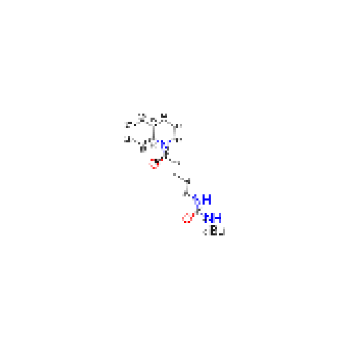 CCC(C)NC(=O)NCCCCC(=O)N1CCCC2CCCC=C21